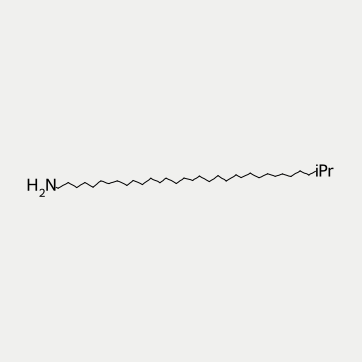 CC(C)CCCCCCCCCCCCCCCCCCCCCCCCCCCCCCCN